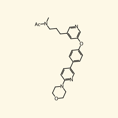 CC(=O)N(C)CCCc1cncc(Oc2ccc(-c3ccc(N4CCOCC4)nc3)cc2)c1